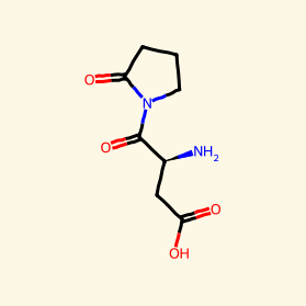 N[C@@H](CC(=O)O)C(=O)N1CCCC1=O